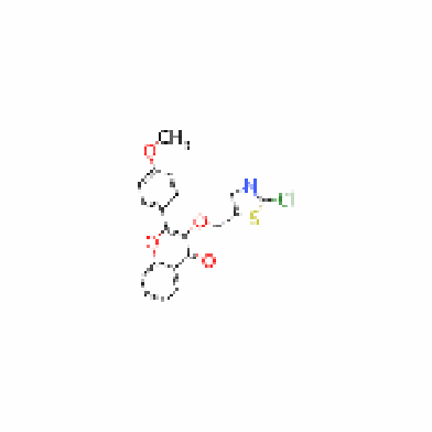 COc1ccc(-c2oc3ccccc3c(=O)c2OCc2cnc(Cl)s2)cc1